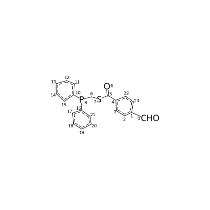 O=Cc1ccc(C(=O)SCP(c2ccccc2)c2ccccc2)cc1